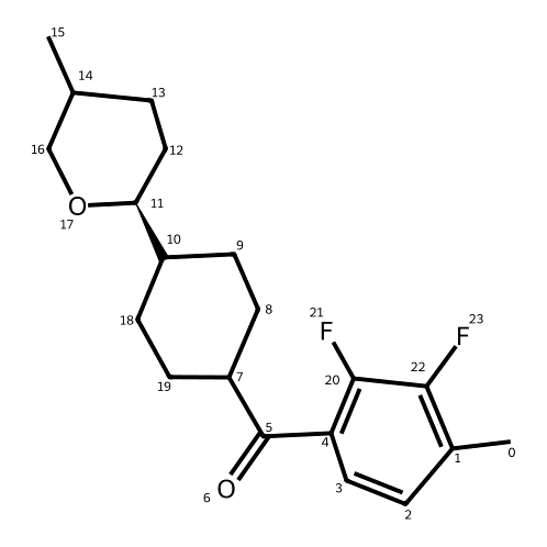 Cc1ccc(C(=O)C2CCC([C@@H]3CCC(C)CO3)CC2)c(F)c1F